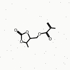 C=C(C)C(=O)OCC1OC(=O)OC1C